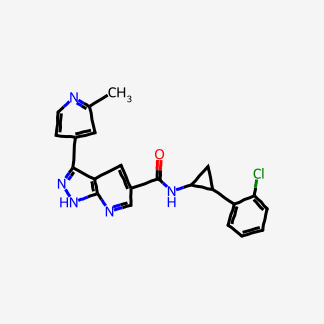 Cc1cc(-c2n[nH]c3ncc(C(=O)NC4CC4c4ccccc4Cl)cc23)ccn1